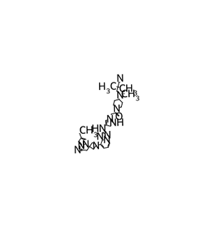 CCc1cnn(C2(CC#N)CN(c3cccn4nc(NC5=CN(CC(=O)N6CCC(N(C)CC(C)(C)C#N)CC6)NC5)nc34)C2)c1